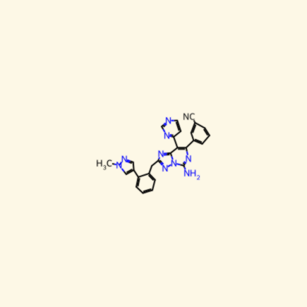 Cn1cc(-c2ccccc2Cc2nc3c(-c4ccncn4)c(-c4cccc(C#N)c4)nc(N)n3n2)cn1